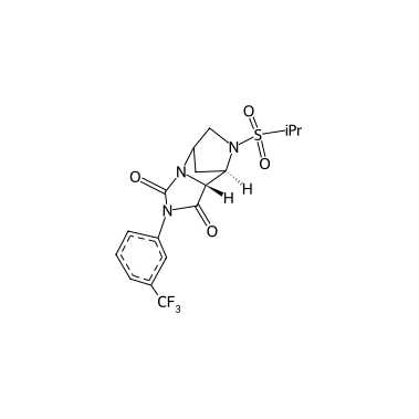 CC(C)S(=O)(=O)N1CC2C[C@@H]1[C@@H]1C(=O)N(c3cccc(C(F)(F)F)c3)C(=O)N21